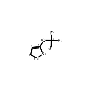 FC(F)(F)OC1=CC[N]S1